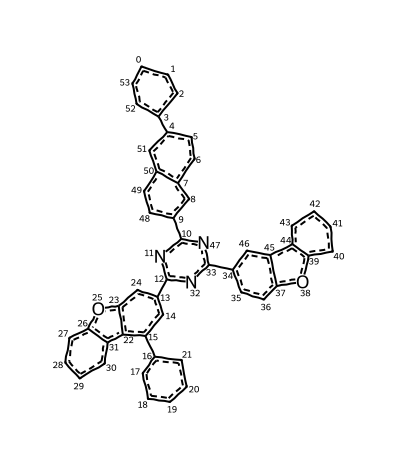 c1ccc(-c2ccc3cc(-c4nc(-c5cc(-c6ccccc6)c6c(c5)oc5ccccc56)nc(-c5ccc6oc7ccccc7c6c5)n4)ccc3c2)cc1